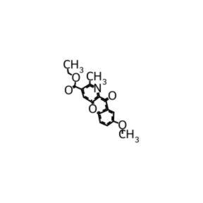 CCOC(=O)c1cc2oc3ccc(OC)cc3c(=O)c2nc1C